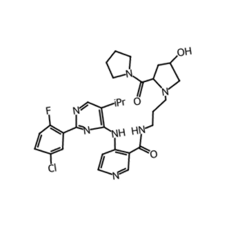 CC(C)c1cnc(-c2cc(Cl)ccc2F)nc1Nc1ccncc1C(=O)NCCCN1CC(O)CC1C(=O)N1CCCC1